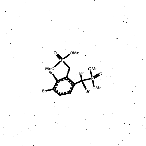 COP(=O)(Cc1c(C(Br)(Br)P(=O)(OC)OC)ccc(Br)c1Br)OC